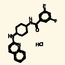 Cl.O=C(NC1CCC(Nc2ccc3ccccc3n2)CC1)c1cc(F)cc(F)c1